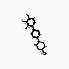 Cc1ccc(-c2ccc(C3CCC(S)CC3)cc2)c(C)c1C